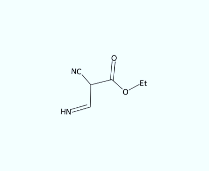 CCOC(=O)C(C#N)C=N